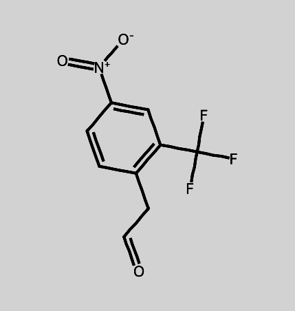 O=CCc1ccc([N+](=O)[O-])cc1C(F)(F)F